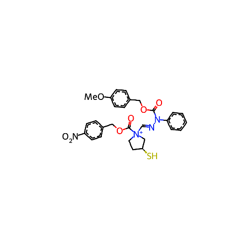 COc1ccc(COC(=O)N(N=C[N+]2(C(=O)OCc3ccc([N+](=O)[O-])cc3)CC[C@H](S)C2)c2ccccc2)cc1